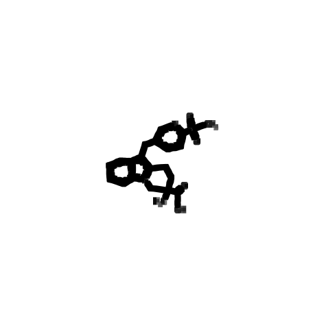 CC1(C(=O)O)CCc2c(Cc3ccc(S(C)(=O)=O)nc3)c3ccccc3n2C1